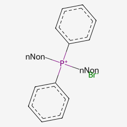 CCCCCCCCC[P+](CCCCCCCCC)(c1ccccc1)c1ccccc1.[Br-]